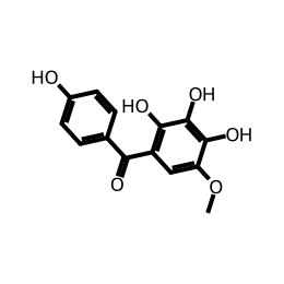 COc1cc(C(=O)c2ccc(O)cc2)c(O)c(O)c1O